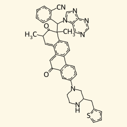 CC1C=c2c(ccc3c2=CC(=O)c2cc(N4CCNC(Cc5cccs5)C4)ccc2-3)C(C)(C(c2ccccc2C#N)n2cnc3ncncc32)C1=O